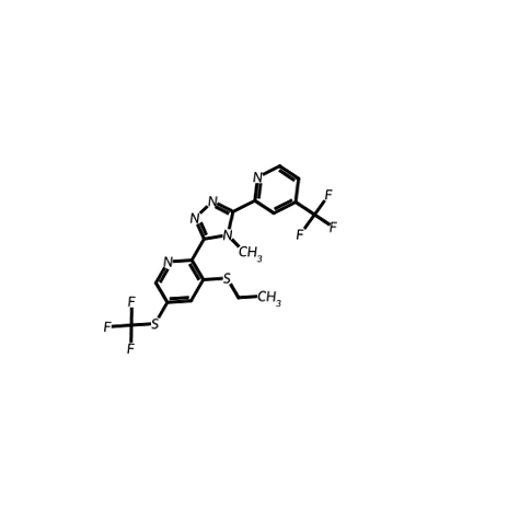 CCSc1cc(SC(F)(F)F)cnc1-c1nnc(-c2cc(C(F)(F)F)ccn2)n1C